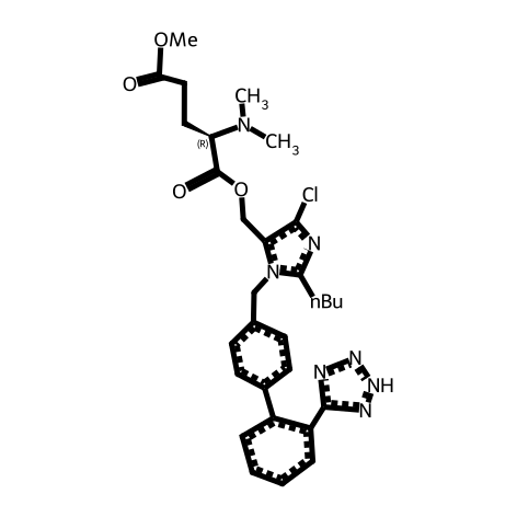 CCCCc1nc(Cl)c(COC(=O)[C@@H](CCC(=O)OC)N(C)C)n1Cc1ccc(-c2ccccc2-c2nn[nH]n2)cc1